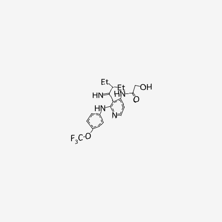 CCC(CC)C(=N)c1c(NC(=O)CO)ccnc1Nc1ccc(OC(F)(F)F)cc1